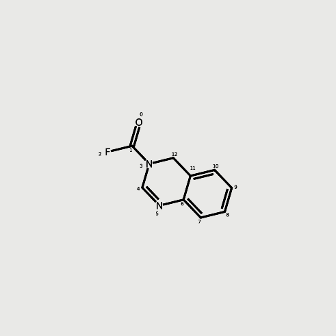 O=C(F)N1C=Nc2ccccc2C1